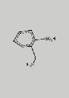 NCc1ccccc1S(=O)(=O)O